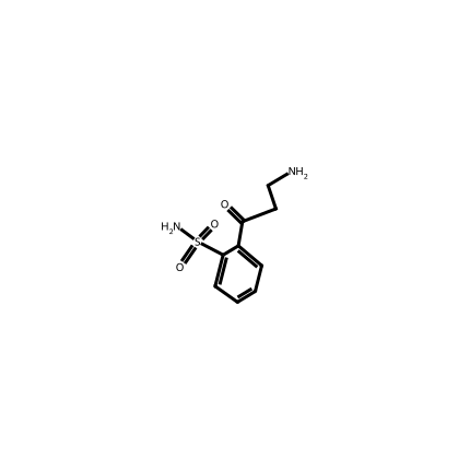 NCCC(=O)c1ccccc1S(N)(=O)=O